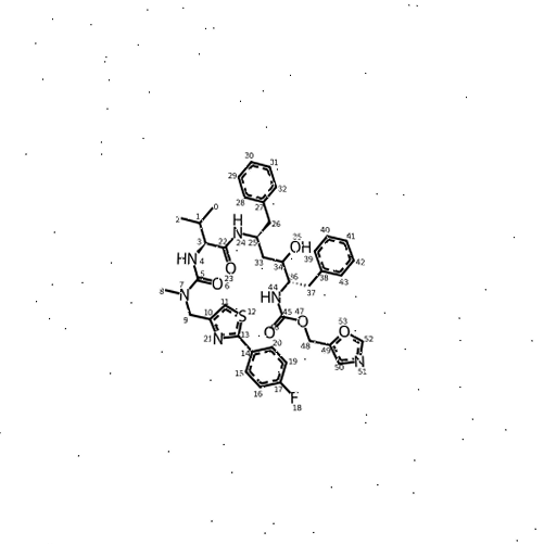 CC(C)[C@H](NC(=O)N(C)Cc1csc(-c2ccc(F)cc2)n1)C(=O)N[C@@H](Cc1ccccc1)CC(O)[C@H](Cc1ccccc1)NC(=O)OCc1cnco1